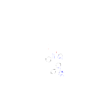 CCCCCOC(=O)C[C@@H](Cc1ccccc1Cl)NC(=O)c1cc(CCC)n(Cc2ccc(-c3ccccc3-c3nnn[nH]3)nc2)n1